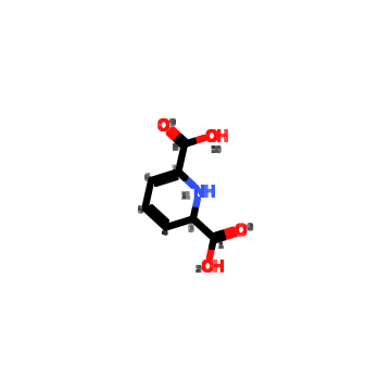 O=C(O)[C]1C=CC=C(C(=O)O)N1